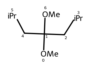 COC(CC(C)C)(CC(C)C)OC